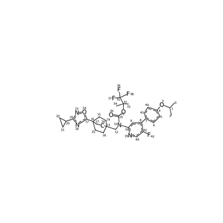 CC(C)Oc1ccc(-c2cc(N(CC34CCC(c5nc(C6CC6)no5)(CC3)CC4)C(=O)OC(C)(C)C(F)(F)F)ncc2F)cc1